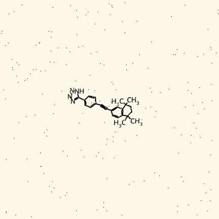 CC1(C)CCC(C)(C)c2cc(C#Cc3ccc(-c4nnn[nH]4)cc3)ccc21